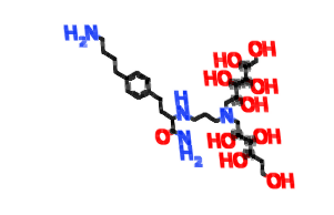 NCCCCc1ccc(CCC(NCCCN(C[C@H](O)[C@@H](O)[C@H](O)[C@H](O)CO)C[C@H](O)[C@@H](O)[C@H](O)CCO)C(N)=O)cc1